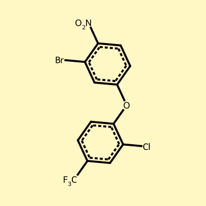 O=[N+]([O-])c1ccc(Oc2ccc(C(F)(F)F)cc2Cl)cc1Br